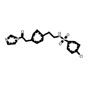 O=C(Cc1ccc(CCNS(=O)(=O)c2ccc(Cl)cc2)cc1)n1ccnc1